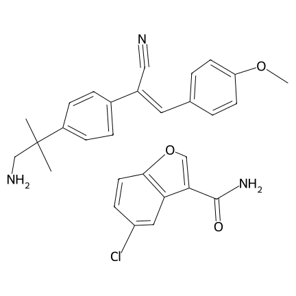 COc1ccc(/C=C(\C#N)c2ccc(C(C)(C)CN)cc2)cc1.NC(=O)c1coc2ccc(Cl)cc12